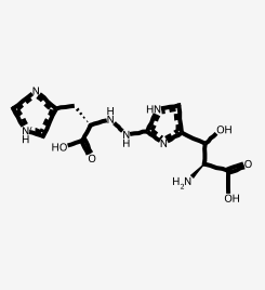 N[C@H](C(=O)O)C(O)c1c[nH]c(NN[C@@H](Cc2c[nH]cn2)C(=O)O)n1